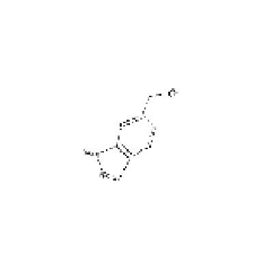 [O]Cc1ccc2cn[nH]c2c1